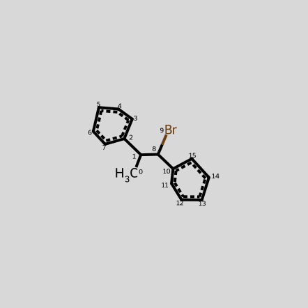 CC(c1ccccc1)C(Br)c1ccccc1